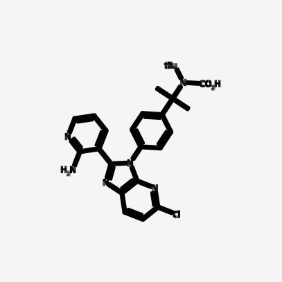 CC(C)(C)N(C(=O)O)C(C)(C)c1ccc(-n2c(-c3cccnc3N)nc3ccc(Cl)nc32)cc1